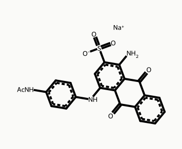 CC(=O)Nc1ccc(Nc2cc(S(=O)(=O)[O-])c(N)c3c2C(=O)c2ccccc2C3=O)cc1.[Na+]